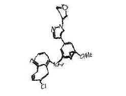 COc1cc(Nc2ccnc3ccc(Cl)cc23)cc(-c2cnn(C3COC3)c2)c1